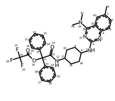 Cc1ccc2nc(NC3CCC(NC(=O)C(OC(=O)C(F)(F)F)(c4ccccc4)c4ccccc4)CC3)nc(N(C)C)c2c1